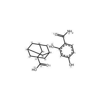 NC(=O)c1ccc(O)cc1O.O=C(O)C12CC3CC(CC(C3)C1)C2